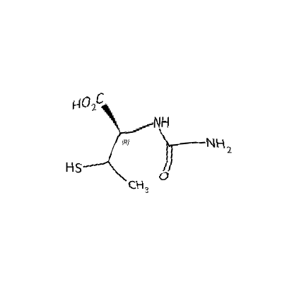 CC(S)[C@H](NC(N)=O)C(=O)O